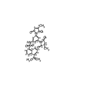 CC1=CC(=O)N(c2cc(NS(=O)(=O)c3cccc4c(N(C)C)cccc34)cc(N3C(=O)C=C(C)C3=O)c2)C1=O